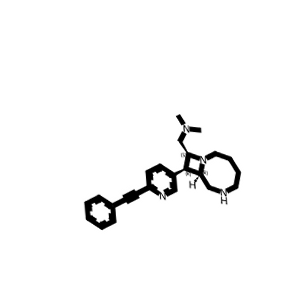 CN(C)C[C@@H]1[C@H](c2ccc(C#Cc3ccccc3)nc2)[C@@H]2CNCCCCN12